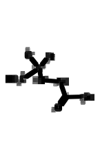 CCCCC(=O)NN[N+]([O-])(CC)C(=O)O